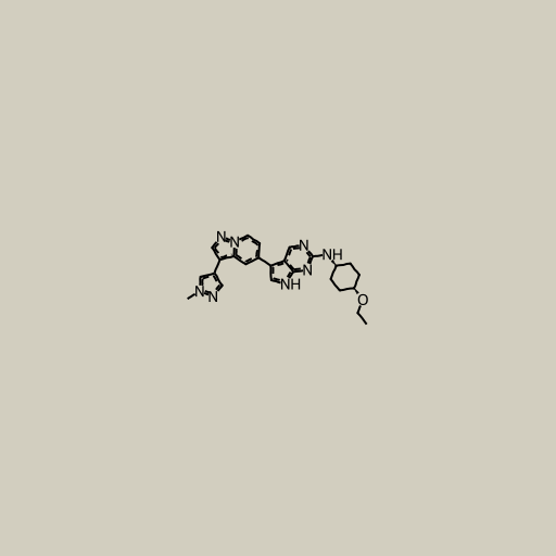 CCO[C@H]1CC[C@@H](Nc2ncc3c(-c4ccn5ncc(-c6cnn(C)c6)c5c4)c[nH]c3n2)CC1